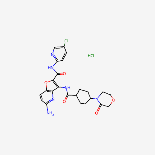 Cl.Nc1ccc2oc(C(=O)Nc3ccc(Cl)cn3)c(NC(=O)C3CCC(N4CCOCC4=O)CC3)c2n1